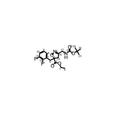 CCOC(=O)C1(Cc2cccc(F)c2F)CC(CNC(=O)OC(C)(C)C)=NO1